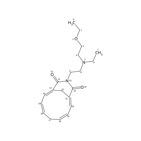 CCOCCN(CC)CCN1C(=O)/C2=C/C=C\C/C=C\C=C(/C2)C1=O